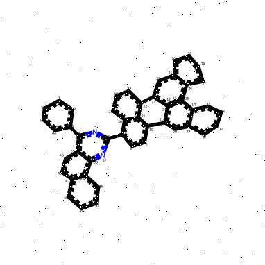 c1ccc(-c2nc(-c3ccc(-c4ccc5ccccc5c4)c4c(-c5ccc6ccccc6c5)cccc34)nc3c2ccc2ccccc23)cc1